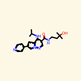 CC(C)Nc1c(C(=O)NCCC(C)(C)O)cnn2cc(-c3ccncc3)cc12